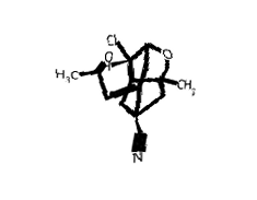 CC(=O)/C=C1\C2OC3(C)C[C@]1(C#N)CC3[C@@H]2Cl